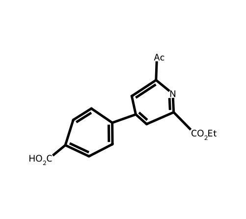 CCOC(=O)c1cc(-c2ccc(C(=O)O)cc2)cc(C(C)=O)n1